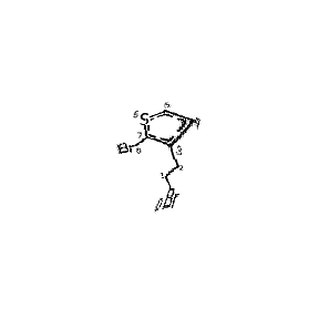 BrCCc1ccsc1Br